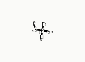 [Li][P](F)(=S)SI